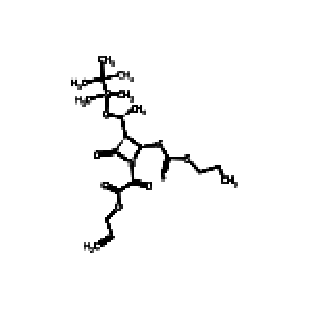 C=CCOC(=O)C(=O)N1C(=O)[C@H]([C@@H](C)O[Si](C)(C)C(C)(C)C)[C@H]1SC(=S)SCCC